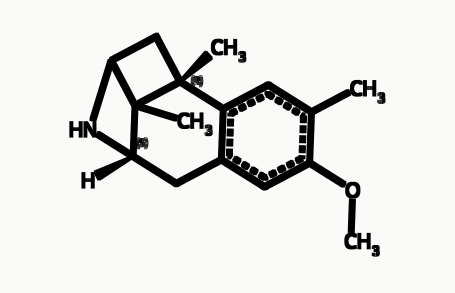 COc1cc2c(cc1C)[C@@]1(C)CC3N[C@@H](C2)C31C